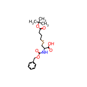 CC(C)(C)OC(=O)CCCSCC(NC(=O)OCc1ccccc1)C(=O)O